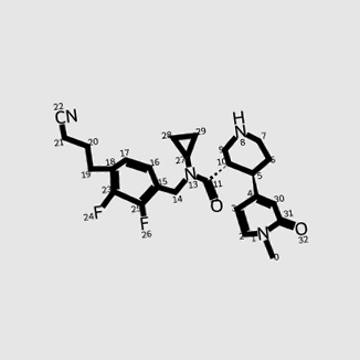 Cn1ccc([C@@H]2CCNC[C@H]2C(=O)N(Cc2ccc(CCCC#N)c(F)c2F)C2CC2)cc1=O